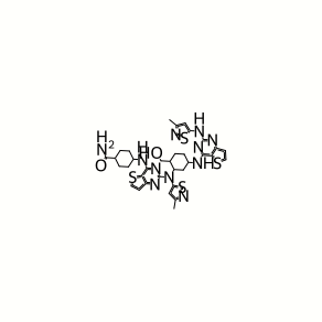 Cc1cc(Nc2nc(NC3CCC(CO)C(N(c4nc(NC5CCC(C(N)=O)CC5)c5sccc5n4)c4cc(C)ns4)C3)c3sccc3n2)sn1